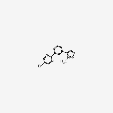 Cn1nccc1-c1cccc(-c2ncc(Br)cn2)c1